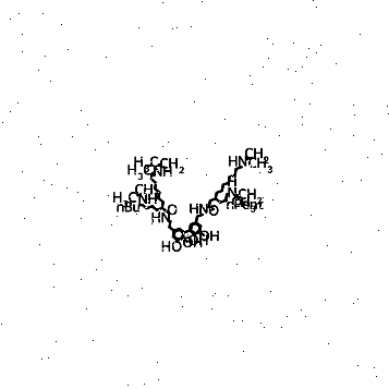 C=C(C)NCCCCCCCCC(CC(=O)NCCc1cc(O)c(O)c(-c2cc(CCNC(=O)C(CCCCCCC(C)NC(=C)C)CCCC(CCCC)NC(=C)C)cc(O)c2O)c1)CC(CCCCC)CNC(=C)C